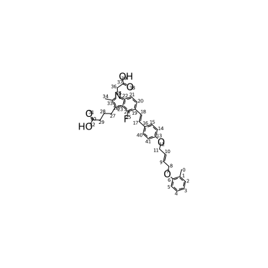 Cc1ccccc1OCC=CCOc1ccc(C=Cc2ccc3c(c2F)c(CCCC(=O)O)c(C)n3CC(=O)O)cc1